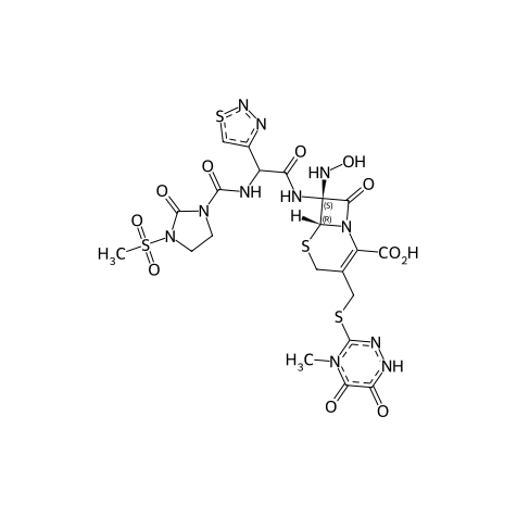 Cn1c(SCC2=C(C(=O)O)N3C(=O)[C@@](NO)(NC(=O)C(NC(=O)N4CCN(S(C)(=O)=O)C4=O)c4csnn4)[C@H]3SC2)n[nH]c(=O)c1=O